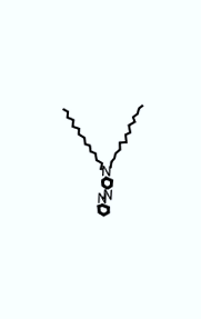 CCCCCCCCCCCCCCCN(CCCCCCCCCCCCCCC)c1ccc(N=Nc2ccccc2)cc1